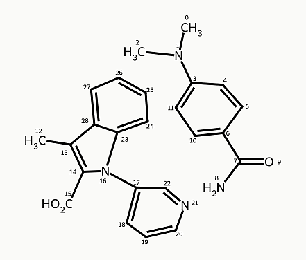 CN(C)c1ccc(C(N)=O)cc1.Cc1c(C(=O)O)n(-c2cccnc2)c2ccccc12